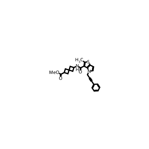 COC(=O)C1CC2(CC(NC(=O)c3c(C)sc4ccn(CC#Cc5ccccc5)c34)C2)C1